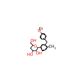 CCOc1ccc(Cc2cc(C3OC(CO)CC(O)C3O)ccc2C)cc1